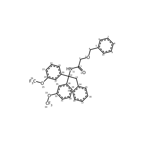 O=C(COCc1ccccc1)NC(Cc1ccccc1)(c1cccc(OC(F)(F)F)c1)c1cccc(OC(F)(F)F)c1